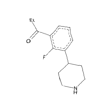 CCC(=O)c1cccc(C2CCNCC2)c1F